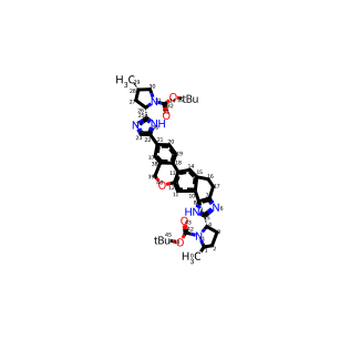 CC1CC[C@@H](c2nc3c([nH]2)-c2cc4c(cc2CC3)-c2ccc(-c3cnc([C@@H]5C[C@H](C)CN5C(=O)OC(C)(C)C)[nH]3)cc2CO4)N1C(=O)OC(C)(C)C